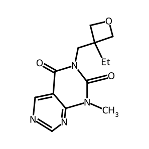 CCC1(Cn2c(=O)c3cncnc3n(C)c2=O)COC1